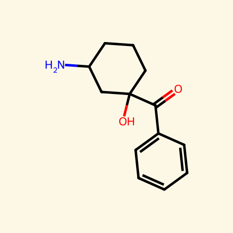 NC1CCCC(O)(C(=O)c2ccccc2)C1